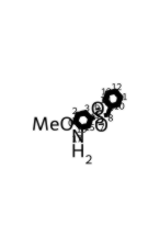 COc1ccc(S(=O)(=O)Cc2ccccc2)cc1N